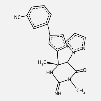 CN1C(=N)N[C@](C)(c2cc(-c3cccc(C#N)c3)cs2)C(n2cccn2)C1=O